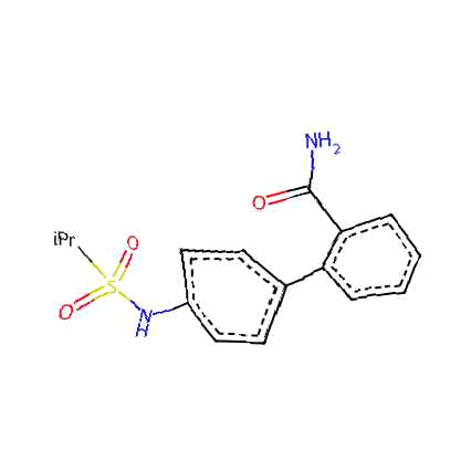 CC(C)S(=O)(=O)Nc1ccc(-c2ccccc2C(N)=O)cc1